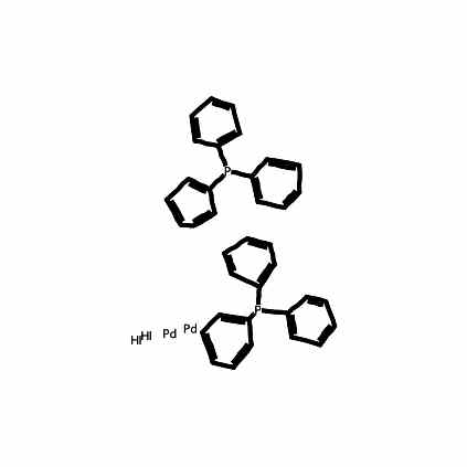 I.I.[Pd].[Pd].c1ccc(P(c2ccccc2)c2ccccc2)cc1.c1ccc(P(c2ccccc2)c2ccccc2)cc1